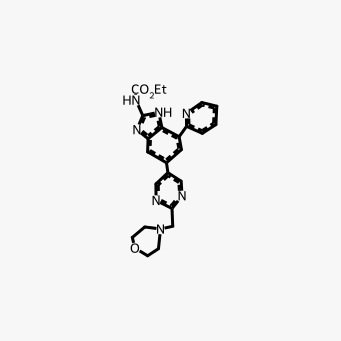 CCOC(=O)Nc1nc2cc(-c3cnc(CN4CCOCC4)nc3)cc(-c3ccccn3)c2[nH]1